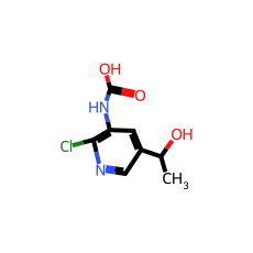 CC(O)c1cnc(Cl)c(NC(=O)O)c1